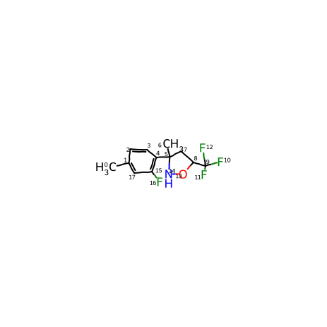 Cc1ccc(C2(C)CC(C(F)(F)F)ON2)c(F)c1